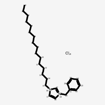 CCCCCCCCCCCCCCCCn1cc[n+](Cc2ccccc2)c1.[Cl-]